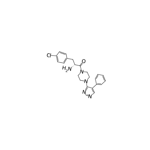 N[C@H](Cc1ccc(Cl)cc1)C(=O)N1CCN(c2ncncc2-c2ccccc2)CC1